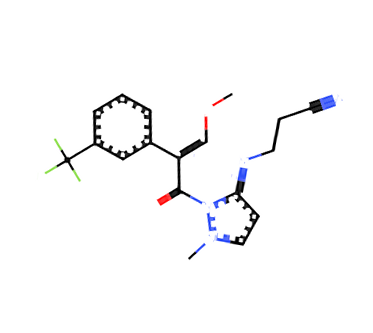 CO/C=C(/C(=O)n1/c(=N/CCC#N)ccn1C)c1cccc(C(F)(F)F)c1